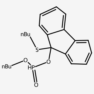 CCCCO[PH](=O)OC1(SCCCC)c2ccccc2-c2ccccc21